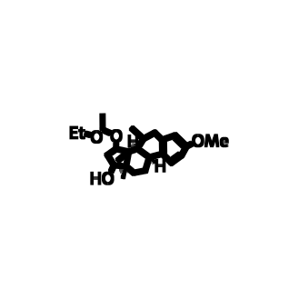 CCOC(C)OC1CC(O)[C@@]2(C)CC[C@@H]3c4ccc(OC)cc4CC(C)[C@H]3C12C